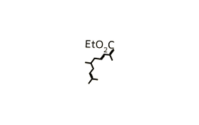 CCOC(=O)C=C(C)C=CCC(C)CC=C(C)C